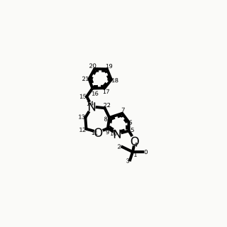 CC(C)(C)Oc1ccc2c(n1)OCCN(Cc1ccccc1)C2